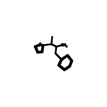 CC(c1cccs1)C(N)Cc1ccccc1